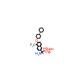 C[C@](N)(COP(=O)(O)O)c1ccc2c(C(F)(F)F)c(O[C@H]3CC[C@H](C4CCCCC4)CC3)ccc2c1